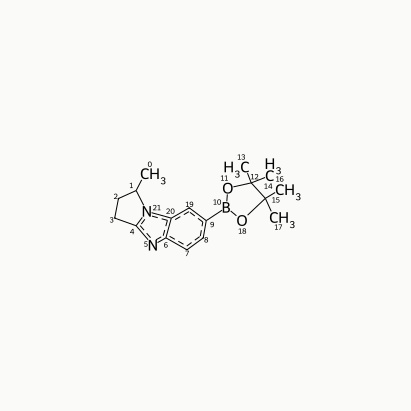 CC1CCc2nc3ccc(B4OC(C)(C)C(C)(C)O4)cc3n21